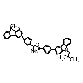 C=C(C)Cn1c2ccccc2c2cc(-c3ccc(-c4nnc(-c5ccc(-c6ccc7c(c6)c6ccccc6n7C)cc5)o4)cc3)ccc21